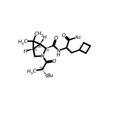 CC(=O)C(=O)C(CC1CCC1)NC(=O)[C@@H]1[C@@H]2[C@H](CN1C(=O)[C@@H](C)C(C)(C)C)C2(C)C